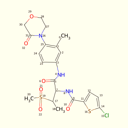 Cc1cc(NC(=O)C(NC(=O)c2ccc(Cl)s2)C(C)S(C)(=O)=O)ccc1N1CCOCC1=O